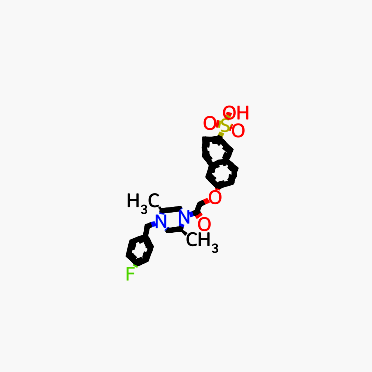 C[C@@H]1CN(C(=O)COc2ccc3cc(S(=O)(=O)O)ccc3c2)[C@@H](C)CN1Cc1ccc(F)cc1